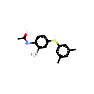 CC(=O)Nc1ccc(Sc2cc(C)cc(C)c2)cc1N